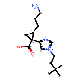 CC(C)(C)CCn1cnc(C2(C(=O)O)CC2CCCN)c1